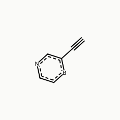 C#Cc1bccnc1